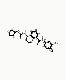 O=C(NC1CCOc2c(C(=O)Nc3ccc(F)c(F)c3)cccc21)OC1CCOC1